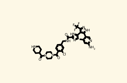 Cc1cc(N)ncc1-c1[nH]nc(C(F)(F)F)c1-c1cnc(C(=O)NCc2ccc(C(=O)N3CCN(C(=O)C4CCNCC4)CC3)c(Cl)c2)[nH]1